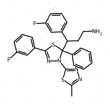 Cc1nnc(N2N=C(c3cccc(F)c3)SC2(c2ccccc2)C(CCN)c2cccc(F)c2)s1